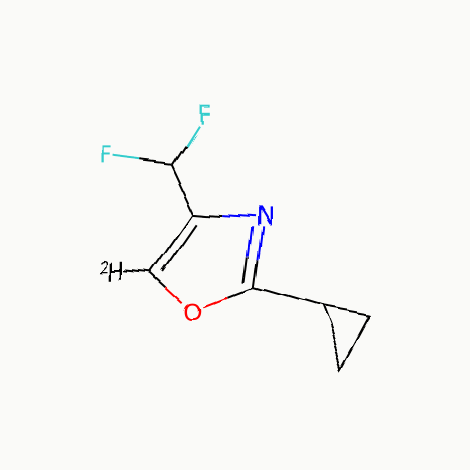 [2H]c1oc(C2CC2)nc1C(F)F